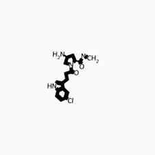 C=NC(=O)[C@@H]1C[C@H](N)CN1C(=O)CCc1c[nH]c2ccc(Cl)cc12